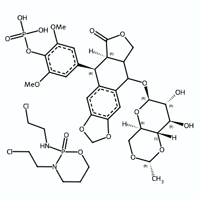 COc1cc([C@@H]2c3cc4c(cc3C(O[C@@H]3O[C@@H]5CO[C@@H](C)O[C@H]5[C@H](O)[C@H]3O)C3COC(=O)[C@@H]32)OCO4)cc(OC)c1OP(=O)(O)O.O=P1(NCCCl)OCCCN1CCCl